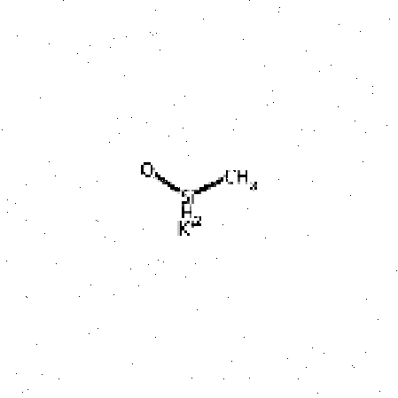 C[SiH2][O-].[K+]